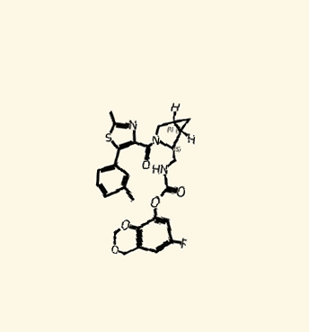 Cc1cccc(-c2sc(C)nc2C(=O)N2C[C@@H]3C[C@@H]3[C@H]2CNC(=O)Oc2cc(F)cc3c2OCOC3)c1